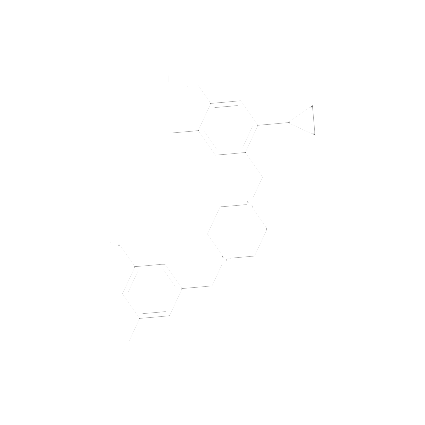 O=C(O)c1cc(C2CC2)c(CN2CCN(Cc3cc(Cl)cc(Cl)c3)CC2)cc1F